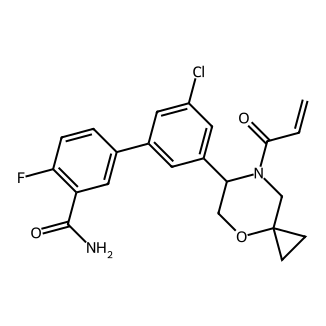 C=CC(=O)N1CC2(CC2)OCC1c1cc(Cl)cc(-c2ccc(F)c(C(N)=O)c2)c1